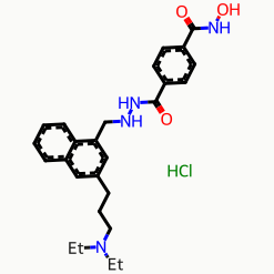 CCN(CC)CCCc1cc(CNNC(=O)c2ccc(C(=O)NO)cc2)c2ccccc2c1.Cl